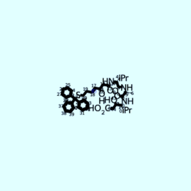 CC(C)[C@@H](NC(=O)[C@@H](C)NC(=O)[C@H](NC(=O)C[C@H](O)/C=C/CCSC(c1ccccc1)(c1ccccc1)c1ccccc1)C(C)C)[C@@H](O)CC(=O)O